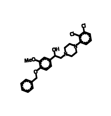 COc1cc(C(O)CN2CCN(c3cccc(Cl)c3Cl)CC2)ccc1OCc1ccccc1